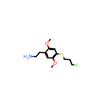 COc1cc(SCCCF)c(OC)cc1CCN